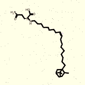 CC1CCC2CC1(CCCCCCCC/C=C\CCCCCCCCN[C@@H](CCC(N)=O)C(=O)O)C2(C)C